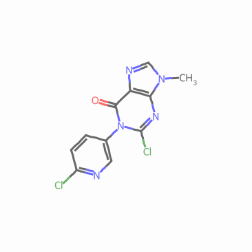 Cn1cnc2c(=O)n(-c3ccc(Cl)nc3)c(Cl)nc21